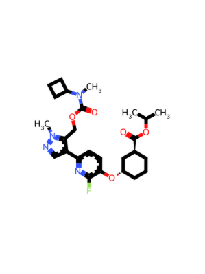 CC(C)OC(=O)[C@H]1CCC[C@H](Oc2ccc(-c3cnn(C)c3COC(=O)N(C)C3CCC3)nc2F)C1